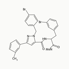 CNC(=O)C(Cc1cccc(Br)c1)NC(=O)c1cc(-c2cccc(C)c2)nn1Cc1ccc(Br)cc1